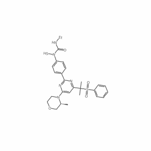 CCNC(=O)N(S)c1ccc(-c2nc(N3CCOC[C@@H]3C)cc(C(C)(C)S(=O)(=O)c3ccccc3)n2)cc1